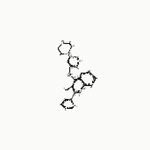 Cc1c(-c2ccccn2)nc2ncccc2c1Nc1cncc(N2CCOCC2)c1